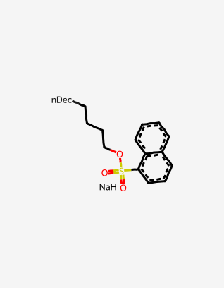 CCCCCCCCCCCCCCOS(=O)(=O)c1cccc2ccccc12.[NaH]